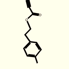 C#CC(=O)OCCc1ccc(C)cc1